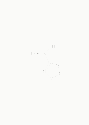 CN(C)C1=N[N]CC1